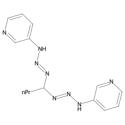 CCCC(N=NNc1cccnc1)N=NNc1cccnc1